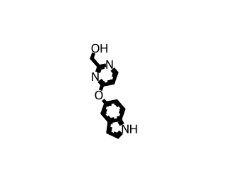 OCc1nccc(Oc2ccc3[nH]ccc3c2)n1